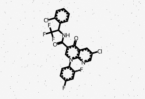 O=C(NC(c1ccccc1Cl)C(F)(F)F)c1cn(-c2ccc(F)cc2F)c2ncc(Cl)cc2c1=O